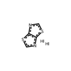 I.I.c1nc2scnc2s1